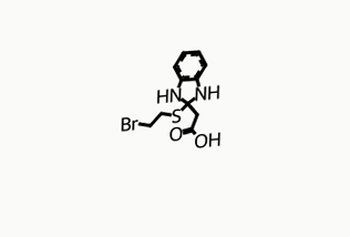 O=C(O)CC1(SCCBr)Nc2ccccc2N1